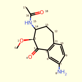 CO[C@@H]1C(=O)c2cc(N)ccc2CCC1NC(C)=O